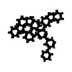 c1ccc(-c2cccc(-c3nc(-c4ccc5oc6ccccc6c5c4)nc(-c4cccc5c4c4cccc6sc7ccc8c9ccccc9n5c8c7c64)n3)c2)cc1